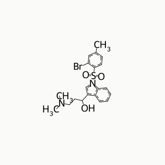 Cc1ccc(S(=O)(=O)n2cc(C(O)CCN(C)C)c3ccccc32)c(Br)c1